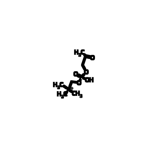 CC(=O)COP(=O)(O)OC[N+](C)(C)C